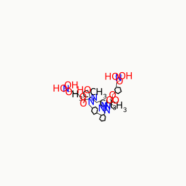 CCCc1nc(C(C)(C)O)c(C(=O)OCCCCON(O)O)n1Cc1ccc(-c2ccccc2-c2nnn(C(C)OC(=O)Oc3cccc(CON(O)O)c3)n2)cc1